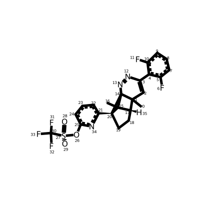 CC12C=C(c3c(F)cccc3F)N=NC13C1(C)[C@H]2CC[C@@]13c1cccc(OS(=O)(=O)C(F)(F)F)n1